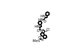 CSC1=Nc2cccc3c4c(cc(c23)O1)N(C(=O)c1cc2cc(NC(=O)c3cc5ccccc5[nH]3)ccc2[nH]1)C[C@H]4CCl